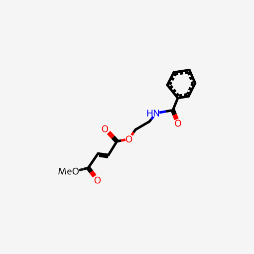 COC(=O)/C=C/C(=O)OCCNC(=O)c1ccccc1